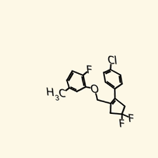 Cc1ccc(F)c(OCC2=C(c3ccc(Cl)cc3)CC(F)(F)C2)c1